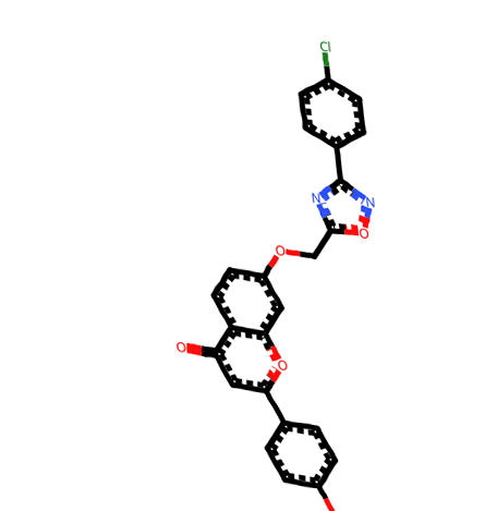 O=c1cc(-c2ccc(O)cc2)oc2cc(OCc3nc(-c4ccc(Cl)cc4)no3)ccc12